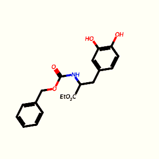 CCOC(=O)C(Cc1ccc(O)c(O)c1)NC(=O)OCc1ccccc1